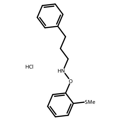 CSc1ccccc1ONCCCc1ccccc1.Cl